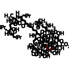 CC(C)CC(=O)N[C@H](CC(C)C)[C@H](O)CC(=O)N[C@H](C)C(=O)N[C@H](CC(C)C)[C@H](O)CC(=O)NCCCCC(NC(=O)CNC(=O)[C@H](CC(=O)O)NC(=O)[C@H](CO)NC(=O)[C@H](CC(=O)O)NC(=O)[C@H](CO)NC(=O)[C@H](CC(=O)O)NC(=O)[C@H](CO)NC(=O)[C@H](CC(=O)O)NC(=O)[C@H](CO)NC(=O)CNC(=O)[C@@H](N)CSS(C)(=O)=O)C(=O)NCC(=O)O